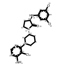 Nc1ncnc(N2CCC[C@@H](N3CC[C@@H](Nc4cc(Cl)cc(Cl)c4)C3=O)C2)c1Cl